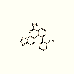 N#Cc1ccccc1-c1cccc(C(N)=O)c1-c1ccc2nccn2c1